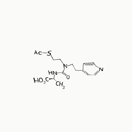 CC(=O)SCCN(CCc1ccncc1)C(=O)N[C@@H](C)C(=O)O